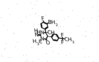 Bc1cc([C@@]2(C)NC(=N)N(C)C(=O)[C@@H]2c2ccc(C(C)(F)F)cc2)ccc1F